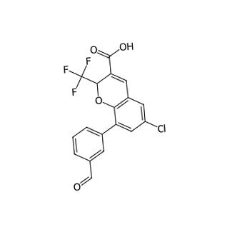 O=Cc1cccc(-c2cc(Cl)cc3c2OC(C(F)(F)F)C(C(=O)O)=C3)c1